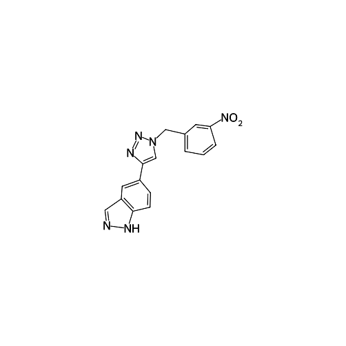 O=[N+]([O-])c1cccc(Cn2cc(-c3ccc4[nH]ncc4c3)nn2)c1